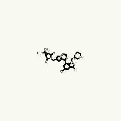 CC1(C)C2C(=O)N(Cc3cc4c(-c5cc(Cl)cc6c(F)nn(C[C@@H]7CNCCO7)c56)ncnn4c3)C(=O)C21